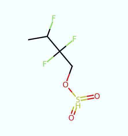 CC(F)C(F)(F)CO[SH](=O)=O